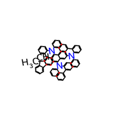 CC1(C)c2ccccc2-c2cc3c(N(c4ccccc4)c4ccccc4-c4ccccc4)c4cc(N(c5ccccc5)c5ccccc5-c5ccccc5)ccc4c(N(c4ccccc4)c4ccccc4-c4ccccc4)c3cc21